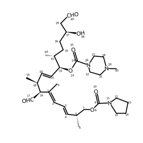 C/C(=C\C=C\[C@@H](C)COC(=O)N1CCCC1)[C@@H](C=O)[C@@H](C)/C=C/[C@H](OC(=O)N1CCN(C)CC1)[C@H](C)CC[C@H](O)CC=O